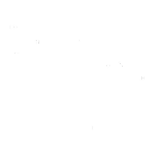 CC(=NOCCOC1CCN(C(=O)O)CC1)c1ccc(C)cc1